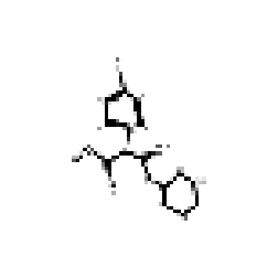 COC(=O)C(C(=O)CC1CCCCC1)c1ccc(F)cc1